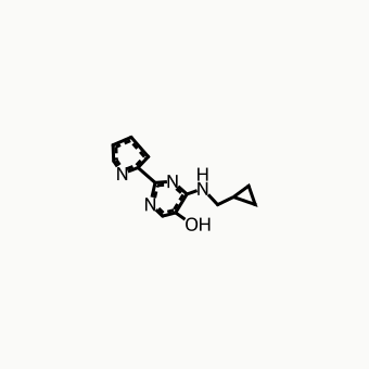 Oc1cnc(-c2ccccn2)nc1NCC1CC1